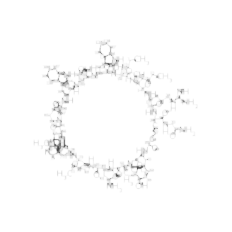 CCCC[C@H]1C(=O)N(C)[C@@H](CCCC)C(=O)N[C@@H](CCCNC(=N)N)C(=O)NC(C(=O)NCC(N)=O)CSCC(=O)N[C@@H](Cc2ccc(O)cc2)C(=O)N(C)[C@@H](C)C(=O)N[C@@H](CC(N)=O)C(=O)N[C@]2(C[C@@H]2CC)C(=O)N[C@@H](Cc2cnc[nH]2)C(=O)N[C@@H](CC(C)C)C(=O)N2CCC[C@H]2C(=O)N[C@@H](Cc2c[nH]c3ccccc23)C(=O)N[C@@H](CO)C(=O)N[C@@H](Cc2c[nH]c3ccccc23)C(=O)N1C